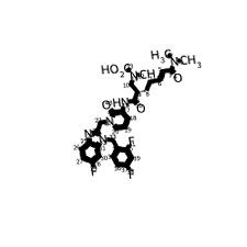 CN(C)C(=O)/C=C/CC[C@@H](CN(C)C(=O)O)C(=O)Nc1cccn(Cc2nc3ccc(F)cc3n2Cc2ccc(F)cc2F)c1=O